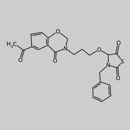 CC(=O)c1ccc2c(c1)C(=O)N(CCCOC1C(=O)SC(=O)N1Cc1ccccc1)CO2